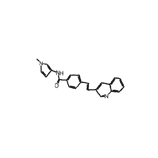 Cn1ccc(NC(=O)c2ccc(C=Cc3cnc4ccccc4c3)cc2)c1